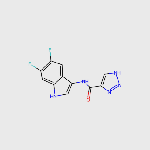 O=C(Nc1c[nH]c2cc(F)c(F)cc12)c1c[nH]nn1